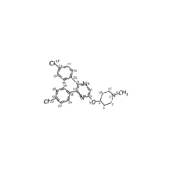 CN1CCC(Oc2cnc(-c3ccc(Cl)cc3)c(-c3ccc(Cl)cc3)n2)CC1